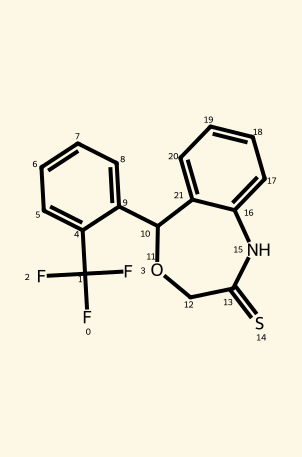 FC(F)(F)c1ccccc1C1OCC(=S)Nc2ccccc21